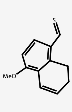 COc1ccc(C=S)c2c1C=CCC2